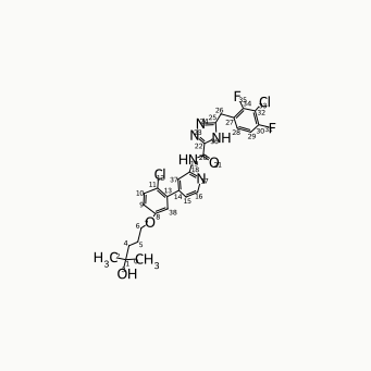 CC(C)(O)CCCOc1ccc(Cl)c(-c2ccnc(NC(=O)c3nnc(Cc4ccc(F)c(Cl)c4F)[nH]3)c2)c1